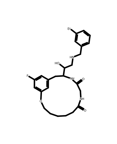 CCc1cccc(CNCC(O)C2Cc3cc(F)cc(c3)OCCCCCC(=O)NCC(=O)N2)c1